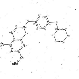 CCCCOc1nc(N)c2c(n1)CN(Cc1ccc(CN3CCCCC3)cc1)C=N2